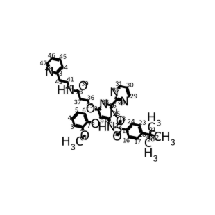 COc1ccccc1Oc1c(NS(=O)(=O)c2ccc(C(C)(C)C)cc2)nc(-c2ncccn2)nc1OCCC(=O)NCCc1ccccn1